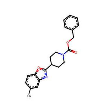 N#Cc1ccc2oc(C3CCN(C(=O)OCc4ccccc4)CC3)nc2c1